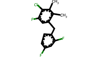 Cc1c(Cc2ccc(F)cc2F)cc(F)c(Cl)c1C